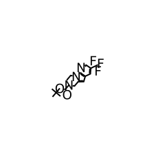 CC(C)(C)OC(=O)N1CCn2c(cc3cc(C(F)(F)F)cnc32)C1